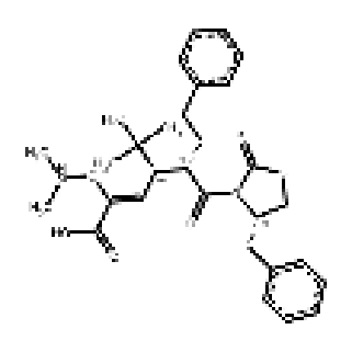 C[SiH](C)OC(=C[C@H]([C@H](CCc1ccccc1)C(=O)N1C(=S)SC[C@@H]1Cc1ccccc1)C(C)(C)C)C(=O)O